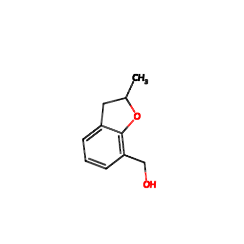 CC1Cc2cccc(CO)c2O1